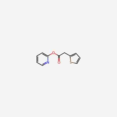 O=C(Cc1cccs1)Oc1ccccn1